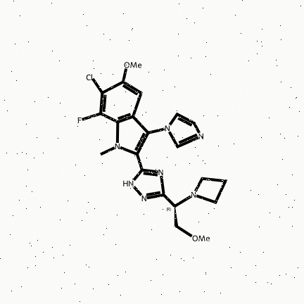 COC[C@@H](c1n[nH]c(-c2c(-n3ccnc3)c3cc(OC)c(Cl)c(F)c3n2C)n1)N1CCC1